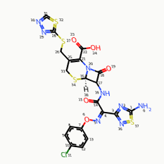 Nc1nc(/C(=N/Oc2ccc(Cl)cc2)C(=O)NC2C(=O)N3C(C(=O)O)=C(CSc4nncs4)CS[C@H]23)ns1